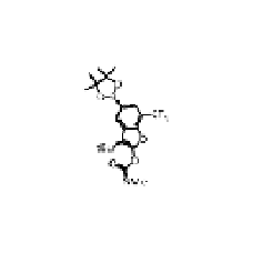 CNC(=O)Oc1oc2c(C(F)(F)F)cc(B3OC(C)(C)C(C)(C)O3)cc2c1C(C)(C)C